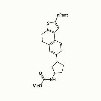 CCCCCc1cc2c(s1)CCc1cc(C3CCC(NC(=O)OC)C3)ccc1-2